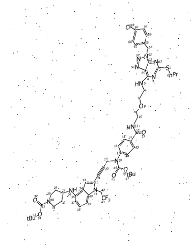 CCCSc1nc(NCCOCCNC(=O)c2ccc(N(CC#Cc3cc4c(NC5CCN(C(=O)OC(C)(C)C)CC5)cccc4n3CC(F)(F)F)C(=O)OC(C)(C)C)cc2)c2nnn(Cc3ccc(Cl)cc3)c2n1